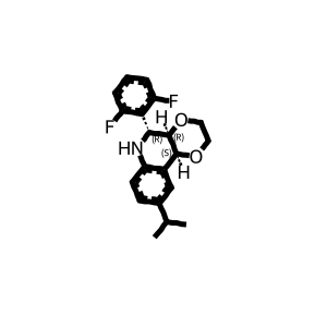 CC(C)c1ccc2c(c1)[C@@H]1OCCO[C@@H]1[C@@H](c1c(F)cccc1F)N2